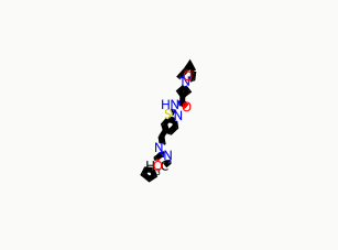 C\C=N/C(COC1CCCC1)=N\C=C\c1ccc2nc(NC(=O)C3CC(N4CC5CC(C4)O5)C3)sc2c1